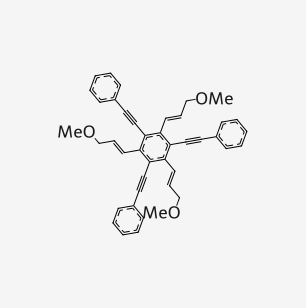 COCC=Cc1c(C#Cc2ccccc2)c(C=CCOC)c(C#Cc2ccccc2)c(C=CCOC)c1C#Cc1ccccc1